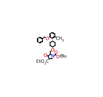 CCOC(=O)C1CN(C(=O)OC(C)(C)C)C(CO[C@H]2CC[C@@H](c3c(C)cccc3OCc3ccccc3)CC2)C1=O